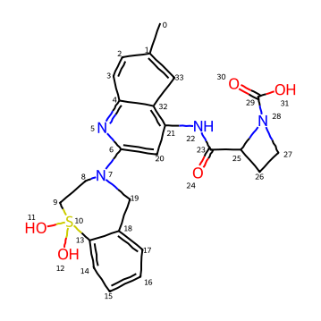 Cc1ccc2nc(N3CCS(O)(O)c4ccccc4C3)cc(NC(=O)C3CCN3C(=O)O)c2c1